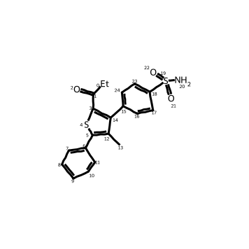 CCC(=O)c1sc(-c2ccccc2)c(C)c1-c1ccc(S(N)(=O)=O)cc1